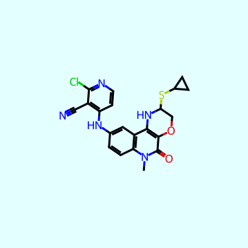 Cn1c(=O)c2c(c3cc(Nc4ccnc(Cl)c4C#N)ccc31)NC(SC1CC1)CO2